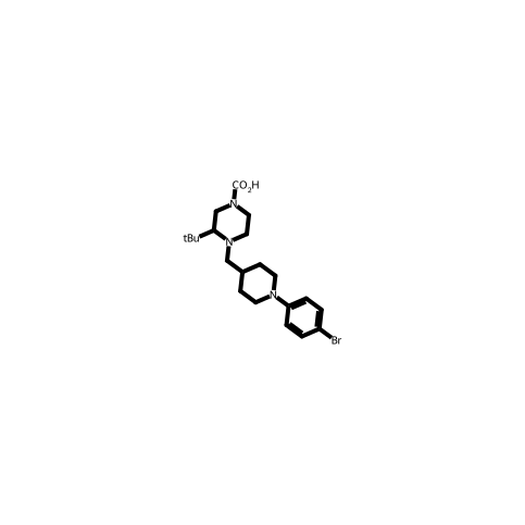 CC(C)(C)C1CN(C(=O)O)CCN1CC1CCN(c2ccc(Br)cc2)CC1